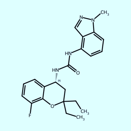 CCC1(CC)C[C@@H](NC(=O)Nc2cccc3c2cnn3C)c2cccc(F)c2O1